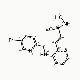 CC(C)c1ccc(CNc2ccccc2C=CC(=O)NO)nc1